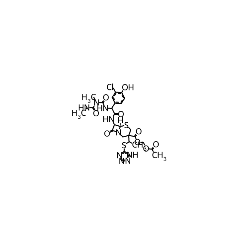 CNC(=O)N(C)C(=O)NC(C(=O)NC1C(=O)N2CC(C(=O)OCOC(C)=O)(C(C)Sc3nnn[nH]3)CS[C@H]12)c1ccc(O)c(Cl)c1